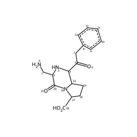 NCC1NC(C(=O)Cc2ccccc2)C2CCC(C(=O)O)N2C1=O